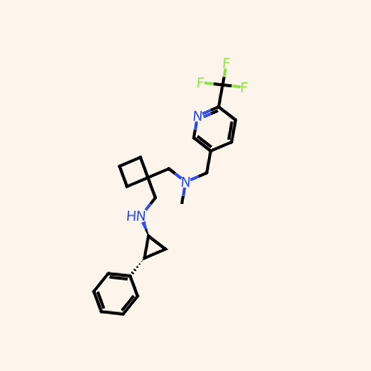 CN(Cc1ccc(C(F)(F)F)nc1)CC1(CN[C@H]2C[C@@H]2c2ccccc2)CCC1